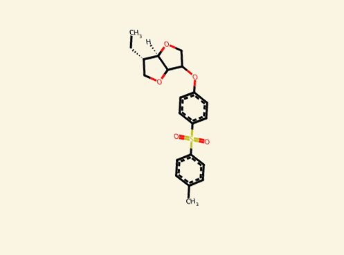 CC[C@H]1COC2C(Oc3ccc(S(=O)(=O)c4ccc(C)cc4)cc3)CO[C@@H]21